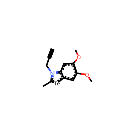 C#CC[n+]1c(C)[te]c2cc(OC)c(OC)cc21